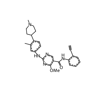 C#Cc1ccccc1NC(=O)c1cnc(Nc2ccc(C3CCN(C)CC3)c(C)c2)nc1OC